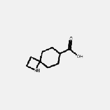 O=C(O)C1CCC2(CCN2)CC1